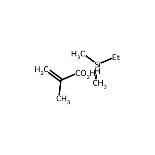 C=C(C)C(=O)O.CC[SiH](C)C